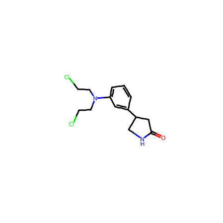 O=C1CC(c2cccc(N(CCCl)CCCl)c2)CN1